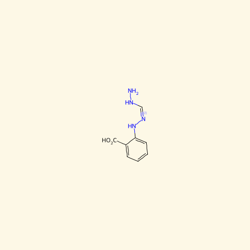 NN/C=N\Nc1ccccc1C(=O)O